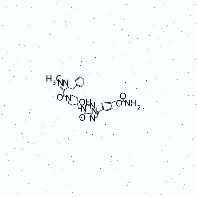 Cn1cc(C(=O)N2CCC(O)(Cn3cnn4c(-c5ccc(COC(N)=O)cc5)cnc4c3=O)CC2)c(Cc2ccccc2)n1